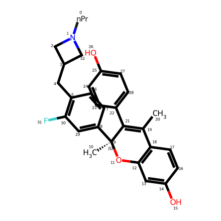 CCCN1CC(Cc2ccc([C@]3(C)Oc4cc(O)ccc4C(C)=C3c3ccc(O)cc3)cc2F)C1